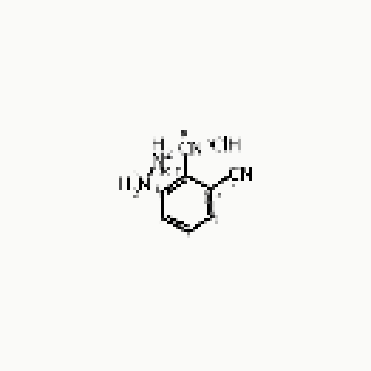 Cl.N#Cc1ccccc1C#N.NN